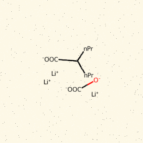 CCCC(CCC)C(=O)[O-].O=C([O-])[O-].[Li+].[Li+].[Li+]